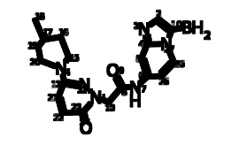 Bc1cnc2cc(NC(=O)Cn3nc(N4CCC(C)CC4)ccc3=O)ccn12